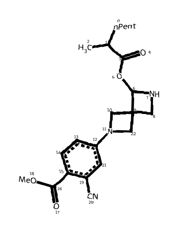 CCCCCC(C)C(=O)OC1NCC12CN(c1ccc(C(=O)OC)c(C#N)c1)C2